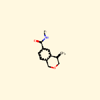 C=C1COCc2ccc(C(=O)NC(C)C)cc21